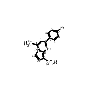 Cc1cc(-c2ccc(F)cc2)nc2c(C(=O)O)ccn12